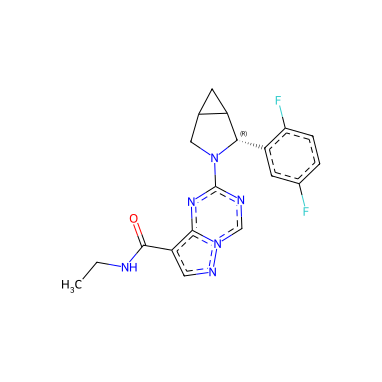 CCNC(=O)c1cnn2cnc(N3CC4CC4[C@@H]3c3cc(F)ccc3F)nc12